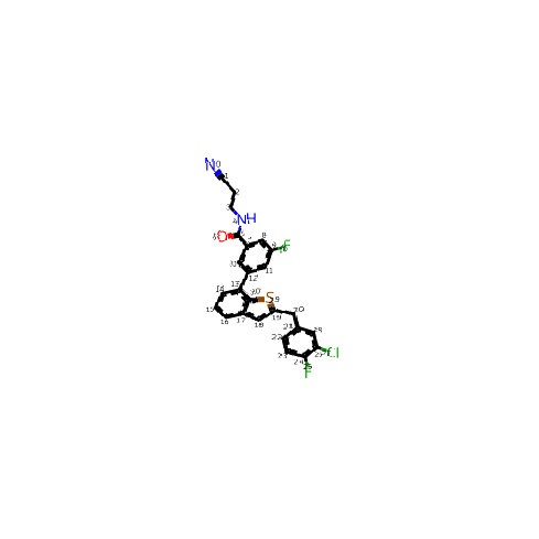 N#CCCNC(=O)c1cc(F)cc(-c2cccc3cc(Cc4ccc(F)c(Cl)c4)sc23)c1